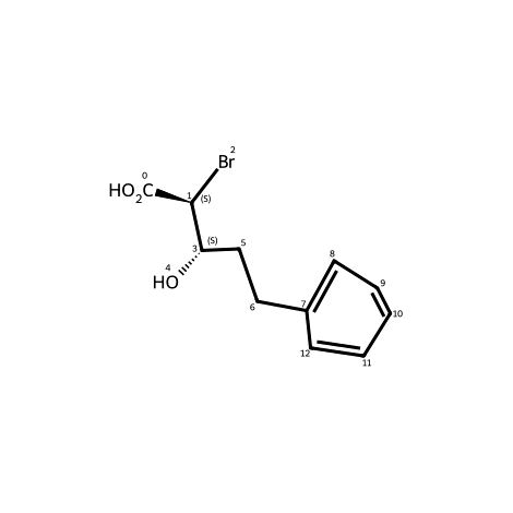 O=C(O)[C@@H](Br)[C@@H](O)CCc1ccccc1